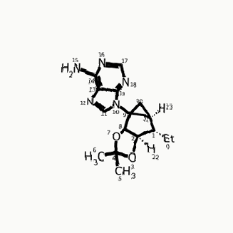 CC[C@@H]1[C@H]2OC(C)(C)OC2C2(n3cnc4c(N)ncnc43)C[C@@H]12